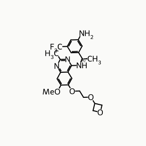 COc1cc2nc(C)nc(N[C@H](C)c3cc(N)cc(C(F)(F)F)c3)c2cc1OCCOC1COC1